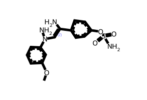 COc1cccc(N(N)/C=C(\N)c2ccc(OS(N)(=O)=O)cc2)c1